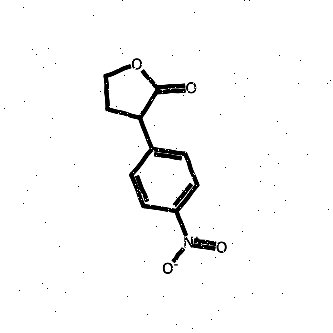 O=C1OCCC1c1ccc([N+](=O)[O-])cc1